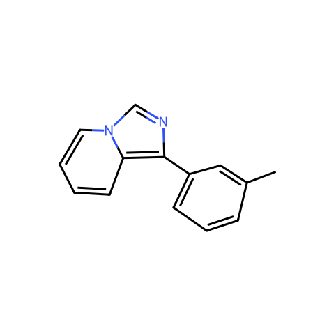 Cc1cccc(-c2ncn3ccccc23)c1